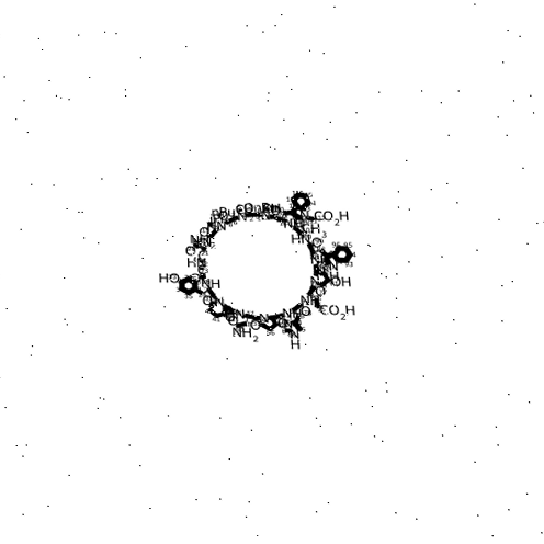 CCCC[C@H]1C(=O)N(C)[C@@H](CCCC)C(=O)N[C@@H](CC(C)C)C(=O)N[C@H](C(N)=O)CNCC(=O)N[C@@H](Cc2ccc(O)cc2)C(=O)N2CCCC[C@H]2C(=O)N[C@@H](CC(N)=O)C(=O)N2CCCC2C(=O)N[C@@H](Cc2c[nH]cn2)C(=O)N[C@@H](CCC(=O)O)C(=O)N2C[C@H](O)C[C@H]2C(=O)N[C@@H](Cc2c[nH]c3ccccc23)C(=O)N[C@@H](C)C(=O)N[C@@H](Cc2cn(CC(=O)O)c3ccccc23)C(=O)N1C